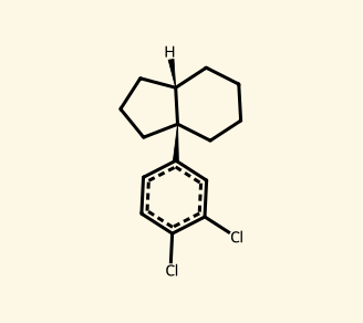 Clc1ccc([C@]23CCCC[C@H]2CCC3)cc1Cl